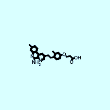 Cc1ccc2c(c1)nc(N)c1ncc(CCc3ccc(OCCC(=O)O)cc3C)cc12